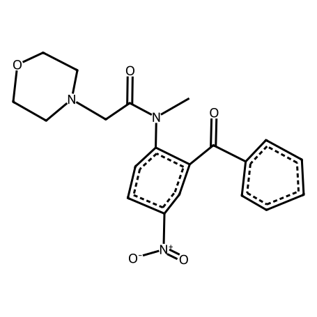 CN(C(=O)CN1CCOCC1)c1ccc([N+](=O)[O-])cc1C(=O)c1ccccc1